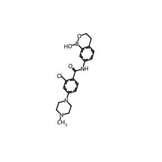 CN1CCN(c2ccc(C(=O)Nc3ccc4c(c3)B(O)OCC4)c(Cl)c2)CC1